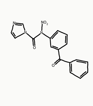 O=C(c1ccccc1)c1cccc(N(C(=O)n2ccnc2)[N+](=O)[O-])c1